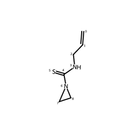 C=CCNC(=S)N1CC1